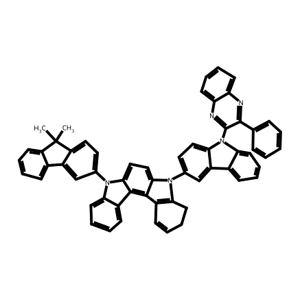 CC1(C)c2ccccc2-c2cc(-n3c4ccccc4c4c5c6c(n(-c7ccc8c(c7)c7ccccc7n8-c7nc8ccccc8nc7-c7ccccc7)c5ccc43)CCC=C6)ccc21